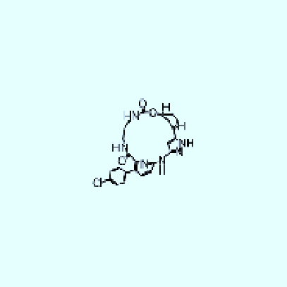 O=C1NCCCNC(=O)c2nc(ccc2-c2ccc(Cl)cc2)Nc2cc([nH]n2)[C@H]2CC[C@H](C2)O1